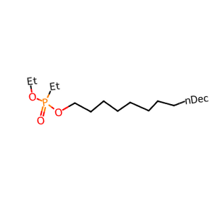 CCCCCCCCCCCCCCCCCCOP(=O)(CC)OCC